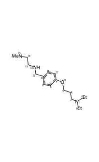 CCN(CC)CCCOc1ccc(CNCCNC)cc1